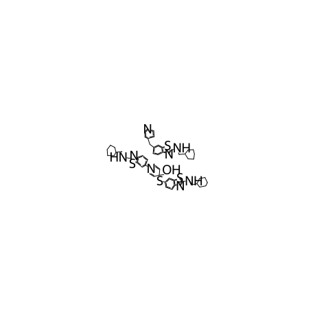 OCC1(Sc2ccc3nc(NCC4CCCCC4)sc3c2)C=CN(c2ccc3nc(NCC4CCCCC4)sc3c2)C=C1.c1cc(Cc2ccc3nc(NCC4CCCCC4)sc3c2)ccn1